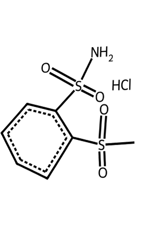 CS(=O)(=O)c1ccccc1S(N)(=O)=O.Cl